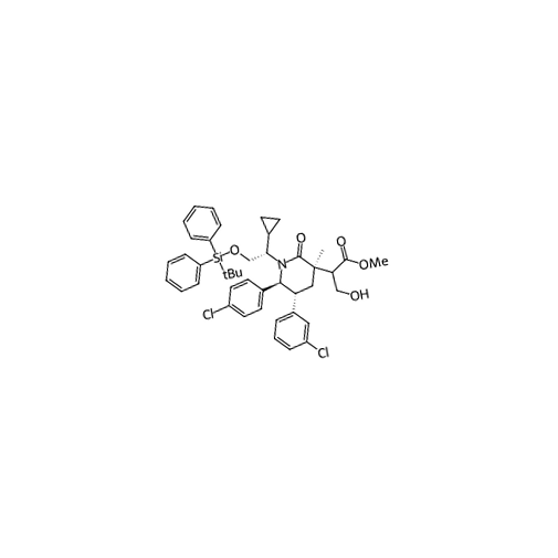 COC(=O)C(CO)[C@@]1(C)C[C@H](c2cccc(Cl)c2)[C@@H](c2ccc(Cl)cc2)N([C@H](CO[Si](c2ccccc2)(c2ccccc2)C(C)(C)C)C2CC2)C1=O